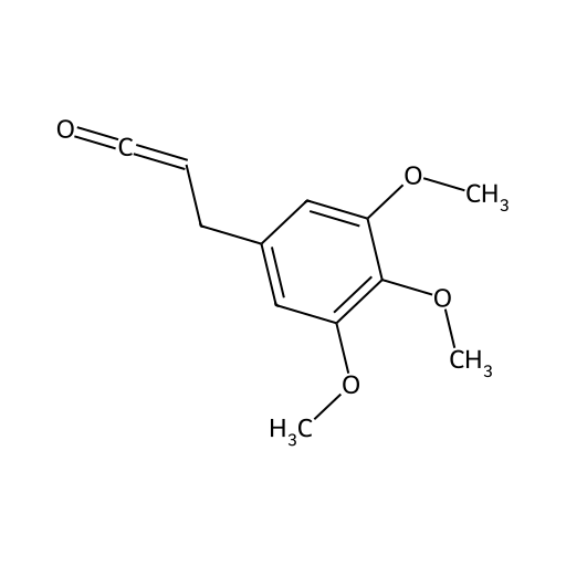 COc1cc(CC=C=O)cc(OC)c1OC